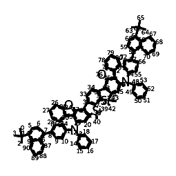 CC(C)(C)c1ccc(-c2ccc(N(c3ccccc3)c3cc4c(c5oc6ccccc6c35)-c3ccc5c(c3[Si]4(C)C)[Si](C)(C)c3cc(N(c4ccccc4)c4ccc(-c6ccc(C(C)(C)C)c7ccccc67)cc4)c4c(oc6ccccc64)c3-5)cc2)c2ccccc12